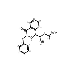 CCCNCC(O)COC(Cc1ccccc1)C(=O)c1ccccc1